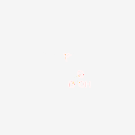 CCCCCCP(CCCCCC)CCCS(=O)(=O)O